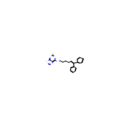 Cn1cnc2c(NCCCCC=C(c3ccccc3)c3ccccc3)nc(Cl)nc21